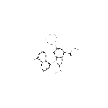 COC(=O)c1cc(N2CCOCC2)cc2c1nc(C(C)C)n2-c1ccnc2c(Cl)cccc12